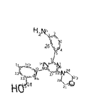 Nc1cccc(-c2nc(-c3cccc(CO)c3)cc(N3CCOCC3)n2)c1